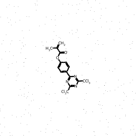 C=C(C)C(=O)Oc1ccc(-c2nc(C(Cl)(Cl)Cl)nc(C(Cl)(Cl)Cl)n2)cc1